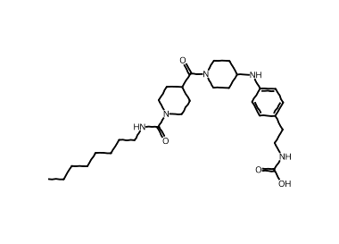 CCCCCCCCNC(=O)N1CCC(C(=O)N2CCC(Nc3ccc(CCNC(=O)O)cc3)CC2)CC1